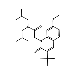 COc1ccc2cc(C(C)(C)C)c(=O)n(CC(=O)N(CC(C)C)CC(C)C)c2c1